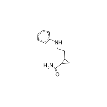 NC(=O)C1CC1CCNc1ccccc1